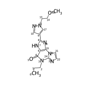 CCCn1c(=O)c2[nH]c(-c3cnn(CCOC)c3)nc2n2ccnc12